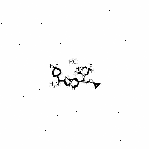 Cl.N[C@H](c1cn2ncc([C@@H](COC3CC3)N3CC(F)(F)CNC3=O)cc2n1)C1CCC(F)(F)CC1